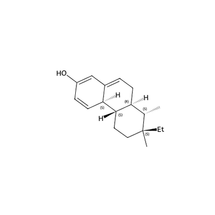 CC[C@@]1(C)CC[C@H]2[C@@H](CC=C3C=C(O)C=C[C@@H]32)[C@@H]1C